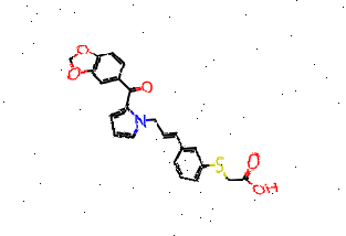 O=C(O)CSc1cccc(/C=C/Cn2cccc2C(=O)c2ccc3c(c2)OCO3)c1